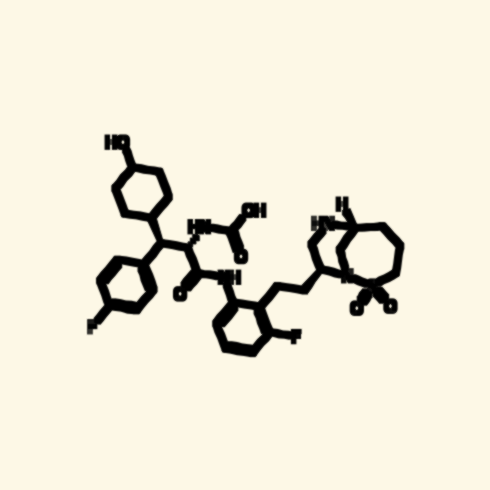 O=C(O)N[C@H](C(=O)Nc1cccc(F)c1CC[C@H]1CN[C@@H]2CCCS(=O)(=O)N1C2)[C@@H](c1ccc(F)cc1)C1CCC(O)CC1